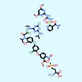 CC1COc2ccccc2N1C(=O)C(Cl)Cl.CCNc1nc(Cl)nc(NC(C)C)n1.COC(=O)c1cc(Oc2ccc(Cl)cc2Cl)ccc1[N+](=O)[O-].COc1cc(OC)nc(NC(=O)NS(=O)(=O)c2ncccc2C(=O)N(C)C)n1.CP(=O)(O)CCC(N)C(=O)O